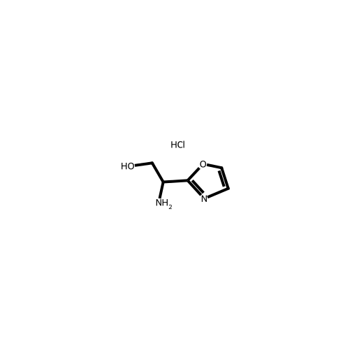 Cl.NC(CO)c1ncco1